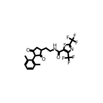 Cc1cccc(C)c1C1C(=O)CC(CCNC(=O)c2sc(C(F)(F)F)nc2C(F)(F)F)C1=O